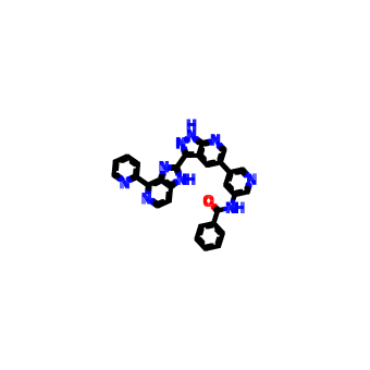 O=C(Nc1cncc(-c2cnc3[nH]nc(-c4nc5c(-c6ccccn6)nccc5[nH]4)c3c2)c1)c1ccccc1